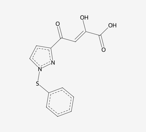 O=C(O)C(O)=CC(=O)c1ccn(Sc2ccccc2)n1